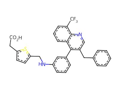 O=C(O)Cc1ccc(CNc2cccc(-c3c(Cc4ccccc4)cnc4c(C(F)(F)F)cccc34)c2)s1